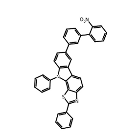 O=[N+]([O-])c1ccccc1-c1cccc(-c2ccc3c(c2)c2ccc4nc(-c5ccccc5)sc4c2n3-c2ccccc2)c1